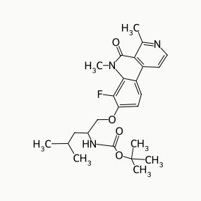 Cc1nccc2c1c(=O)n(C)c1c(F)c(OCC(CC(C)C)NC(=O)OC(C)(C)C)ccc21